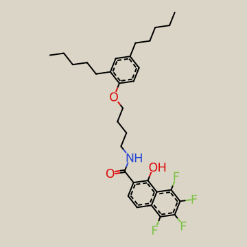 CCCCCc1ccc(OCCCCNC(=O)c2ccc3c(F)c(F)c(F)c(F)c3c2O)c(CCCCC)c1